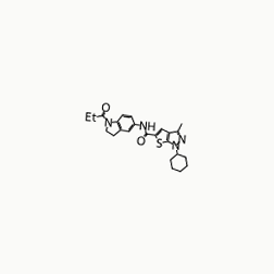 CCC(=O)N1CCc2cc(NC(=O)c3cc4c(C)nn(C5CCCCC5)c4s3)ccc21